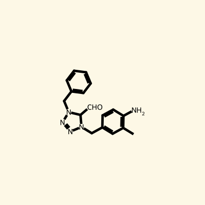 Cc1cc(CN2N=NN(Cc3ccccc3)C2C=O)ccc1N